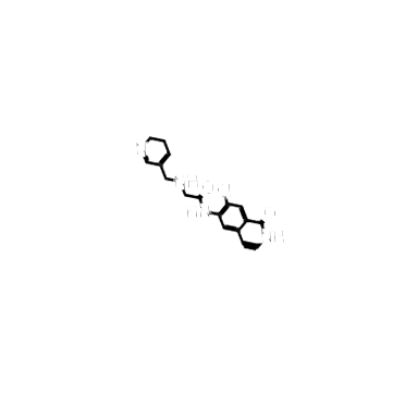 O=C(CNCC1=CCCN=C1)Nc1cc2c#c[nH]c(=O)c2cc1Cl